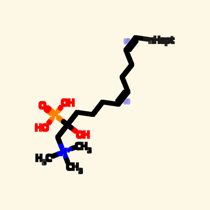 CCCCCCC/C=C\CC/C=C\CCCC(O)(C[N+](C)(C)C)P(=O)(O)O